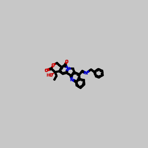 CC[C@@]1(O)C(=O)OCc2c1cc1n(c2=O)Cc2c-1nc1ccccc1c2C=NCc1ccccc1